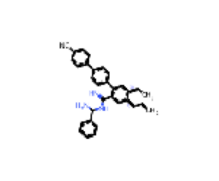 C=C/C=c1/cc(C(=N)NC(N)c2ccccc2)c(-c2ccc(-c3ccc(C#N)cc3)cc2)c/c1=C/C